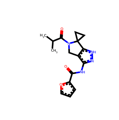 CC(C)C(=O)N1Cc2c(NC(=O)c3ccco3)n[nH]c2C12CC2